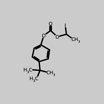 CC(I)OC(=O)Oc1ccc(C(C)(C)C)cc1